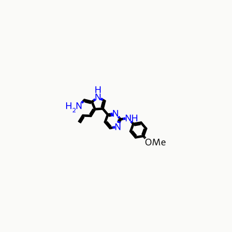 C=C/C=c1/c(-c2ccnc(Nc3ccc(OC)cc3)n2)c[nH]/c1=C/N